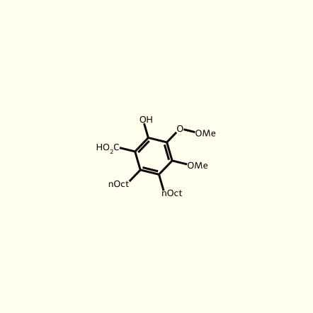 CCCCCCCCc1c(CCCCCCCC)c(C(=O)O)c(O)c(OOC)c1OC